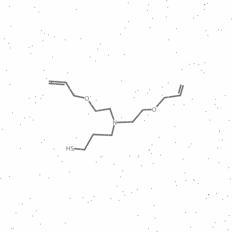 C=CCOCCN(CCCS)CCOCC=C